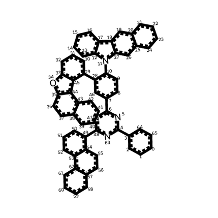 c1ccc(-c2nc(-c3ccc(-n4c5ccccc5c5cc6ccccc6cc54)c(-c4cccc5oc6ccc7ccccc7c6c45)c3)nc(-c3cccc4c3ccc3ccccc34)n2)cc1